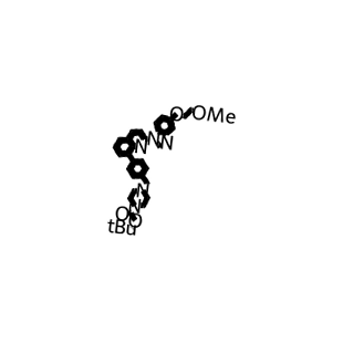 COCCOc1ccc2c(c1)ncn2-c1ccc2cccc(-c3ccc(CN4CCN(C(=O)OC(C)(C)C)CC4)cc3)c2n1